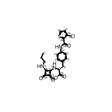 CCCNc1c(N[C@@H](Cc2ccc(NC(=O)c3sccc3Cl)cc2)C(=O)O)c(=O)c1=O